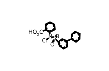 O=C(O)c1ccccc1N(Cl)S(=O)(=O)c1cccc(-c2ccccc2)c1